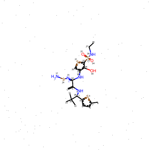 C=C(N[C@@H](c1ccc(C)s1)C(C)(C)C)/C(=N\SN)Nc1csc(S(=O)(=O)NCC)c1O